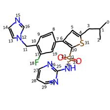 CC(C)Cc1cc(-c2ccc(Cn3ccnc3)c(F)c2)c(S(=O)(=O)Nc2ncccn2)s1